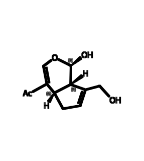 CC(=O)C1=CO[C@@H](O)[C@@H]2C(CO)=CC[C@H]12